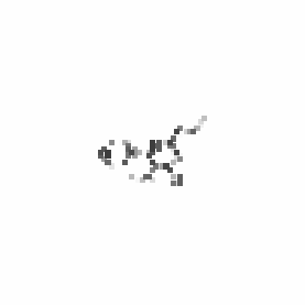 CCSc1nc(Cl)c(OC)c(N2CCOCC2)n1